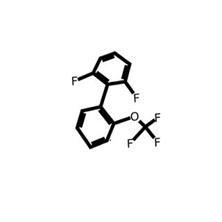 Fc1cccc(F)c1-c1ccc[c]c1OC(F)(F)F